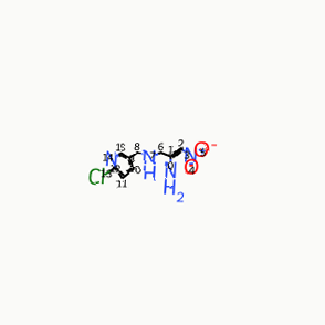 NC(=C[N+](=O)[O-])CNCc1ccc(Cl)nc1